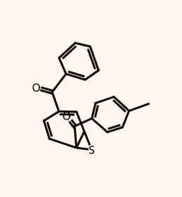 Cc1ccc(C(=O)C23C=CC(C(=O)c4ccccc4)=CC2S3)cc1